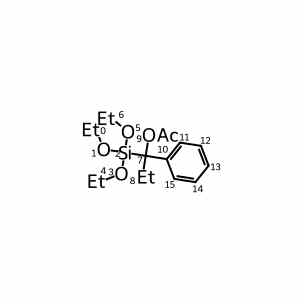 CCO[Si](OCC)(OCC)C(CC)(OC(C)=O)c1ccccc1